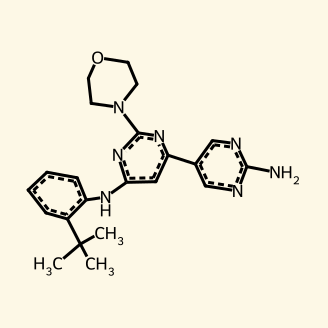 CC(C)(C)c1ccccc1Nc1cc(-c2cnc(N)nc2)nc(N2CCOCC2)n1